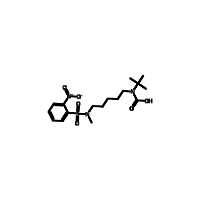 CN(CCCCCN(C(=O)O)C(C)(C)C)S(=O)(=O)c1ccccc1[N+](=O)[O-]